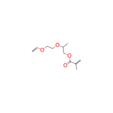 C=COCCOC(C)COC(=O)C(=C)C